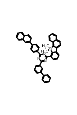 C[Si]1(C)c2c(-c3nc(-c4ccc(-c5ccc6ccccc6c5)cc4)nc(-c4cccc(-c5ccccc5)c4)n3)cccc2-c2ccc3ccccc3c21